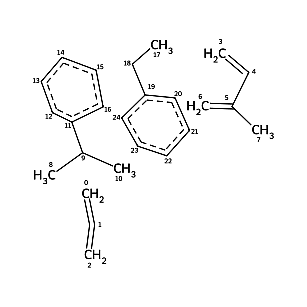 C=C=C.C=CC(=C)C.CC(C)c1ccccc1.CCc1ccccc1